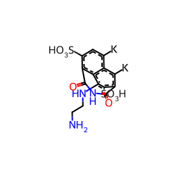 NCCNc1c(S(=O)(=O)O)c2[c]([K])c3[c]([K])cc(S(=O)(=O)O)c(c13)C(=O)NC2=O